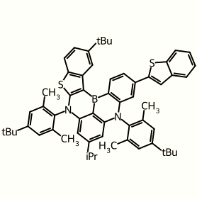 Cc1cc(C(C)(C)C)cc(C)c1N1c2cc(-c3cc4ccccc4s3)ccc2B2c3c1cc(C(C)C)cc3N(c1c(C)cc(C(C)(C)C)cc1C)c1sc3ccc(C(C)(C)C)cc3c12